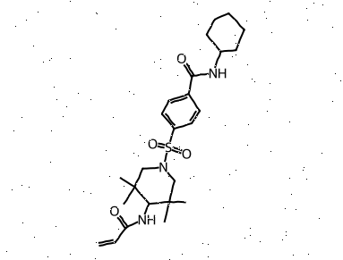 C=CC(=O)NC1C(C)(C)CN(S(=O)(=O)c2ccc(C(=O)NC3CCCCC3)cc2)CC1(C)C